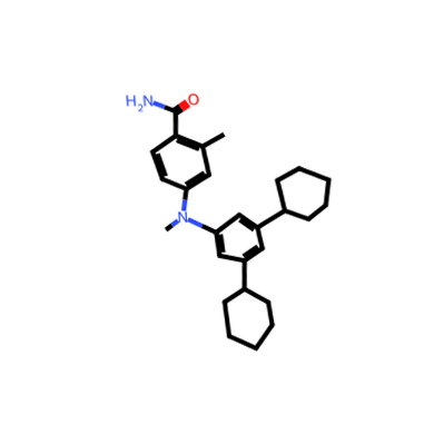 Cc1cc(N(C)c2cc(C3CCCCC3)cc(C3CCCCC3)c2)ccc1C(N)=O